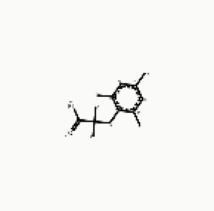 CCC(=O)C(C)(C)Cc1c(C)cc(C)cc1C